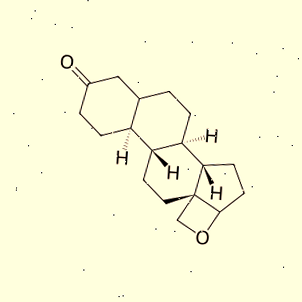 O=C1CC[C@H]2C(CC[C@@H]3[C@@H]2CC[C@]24COC2CC[C@@H]34)C1